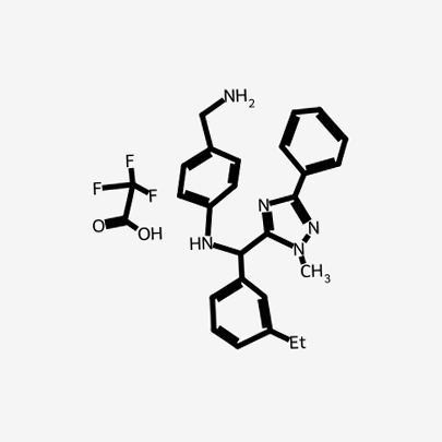 CCc1cccc(C(Nc2ccc(CN)cc2)c2nc(-c3ccccc3)nn2C)c1.O=C(O)C(F)(F)F